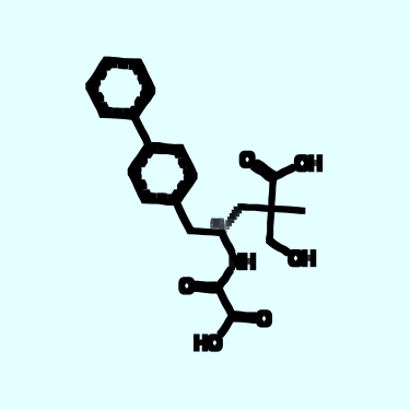 CC(CO)(C[C@@H](Cc1ccc(-c2ccccc2)cc1)NC(=O)C(=O)O)C(=O)O